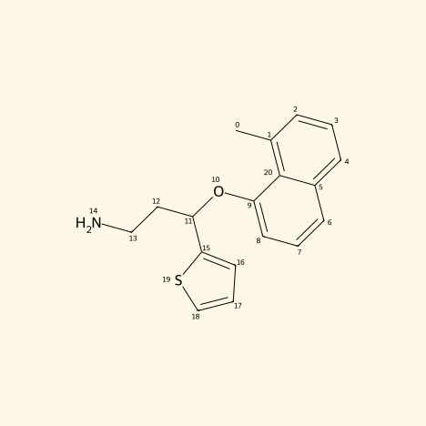 Cc1cccc2cccc(OC(CCN)c3cccs3)c12